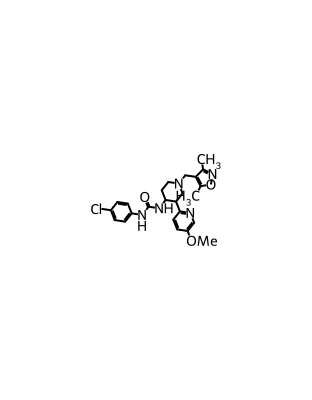 COc1ccc(C2CN(Cc3c(C)noc3C)CCC2NC(=O)Nc2ccc(Cl)cc2)nc1